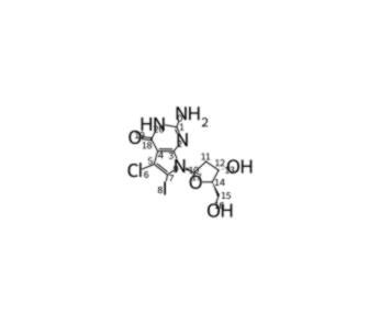 Nc1nc2c(c(Cl)c(I)n2[C@H]2C[C@H](O)[C@@H](CO)O2)c(=O)[nH]1